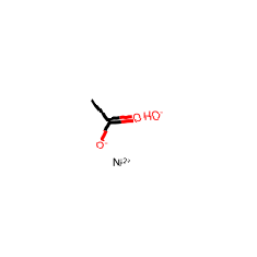 CC(=O)[O-].[Ni+2].[OH-]